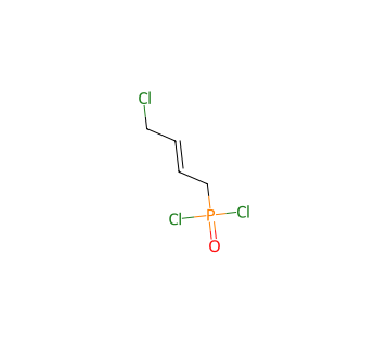 O=P(Cl)(Cl)CC=CCCl